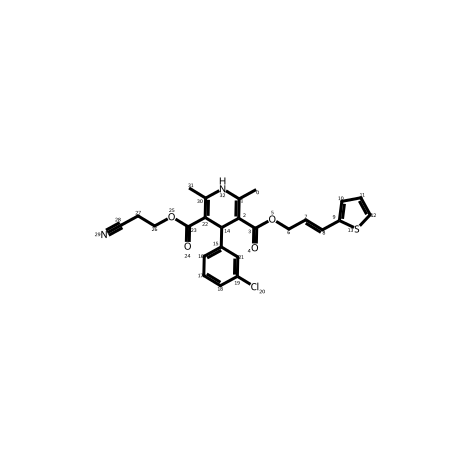 CC1=C(C(=O)OCC=Cc2cccs2)C(c2cccc(Cl)c2)C(C(=O)OCCC#N)=C(C)N1